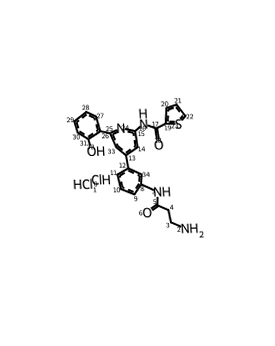 Cl.Cl.NCCC(=O)Nc1cccc(-c2cc(NC(=O)c3cccs3)nc(-c3ccccc3O)c2)c1